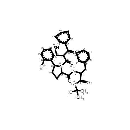 CC(C)(C)OC(=O)C(Cc1ccccc1)NC(=O)C1CCC(c2ccccc2O)N1C(=O)[C@@H](CS)C(=O)c1ccccc1